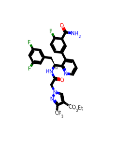 CCOC(=O)c1cn(CC(=O)N[C@@H](Cc2cc(F)cc(F)c2)c2ncccc2C2=CC(C(N)=O)C(F)C=C2)nc1C(F)(F)F